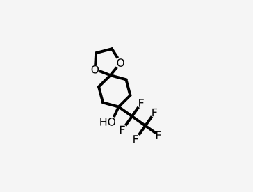 OC1(C(F)(F)C(F)(F)F)CCC2(CC1)OCCO2